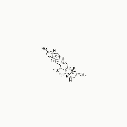 CC1=C2C[C@H]3C(CC[C@@H]4C[C@H](O)CC[C@@]43C)[C@@H]2CC[C@@]2(C1)O[C@@H]1C[C@H](C)CN[C@H]1[C@H]2C